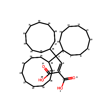 O=C(O)C(=CC(C1CCCCCCCCC1)(C1CCCCCCCCC1)C1CCCCCCCCC1)C(=O)O